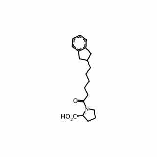 O=C(O)[C@@H]1CCCN1C(=O)CCCCCC1Cc2ccccc2C1